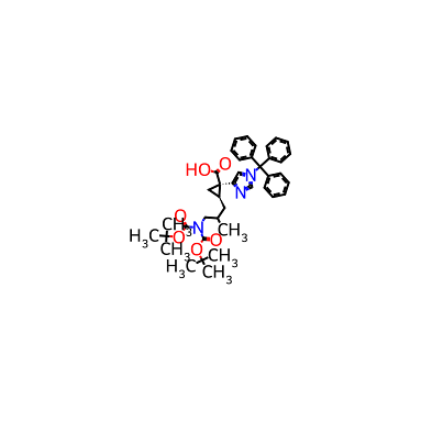 CC(C[C@H]1C[C@]1(C(=O)O)c1cn(C(c2ccccc2)(c2ccccc2)c2ccccc2)cn1)CN(C(=O)OC(C)(C)C)C(=O)OC(C)(C)C